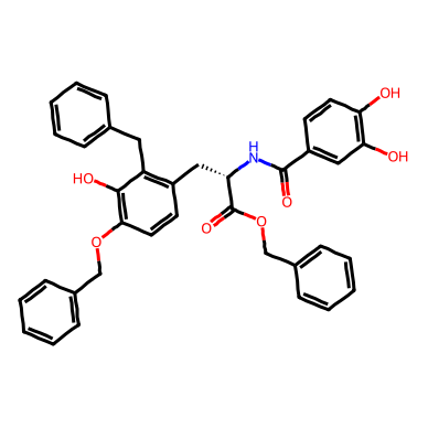 O=C(N[C@@H](Cc1ccc(OCc2ccccc2)c(O)c1Cc1ccccc1)C(=O)OCc1ccccc1)c1ccc(O)c(O)c1